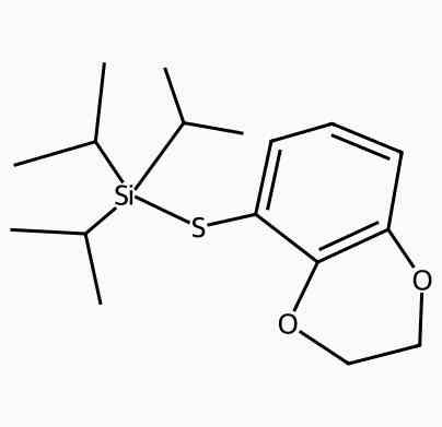 CC(C)[Si](Sc1cccc2c1OCCO2)(C(C)C)C(C)C